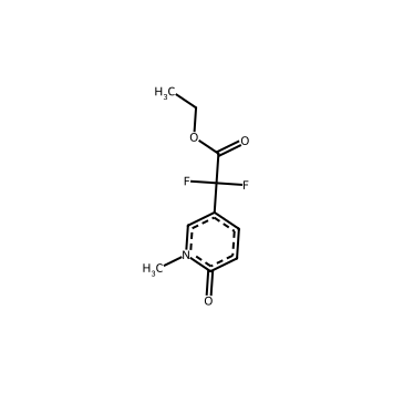 CCOC(=O)C(F)(F)c1ccc(=O)n(C)c1